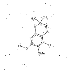 CCOc1cc2c(c(C)c1OC)C=CC(C)(C)O2